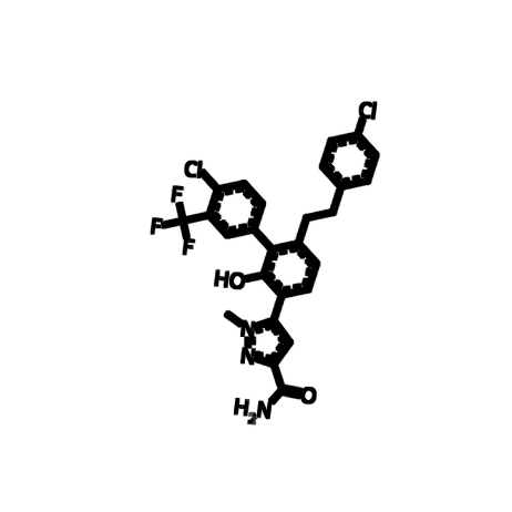 Cn1nc(C(N)=O)cc1-c1ccc(CCc2ccc(Cl)cc2)c(-c2ccc(Cl)c(C(F)(F)F)c2)c1O